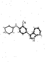 N#Cc1cc(-c2c[nH]c3ncccc23)ccc1OC1CCOCC1